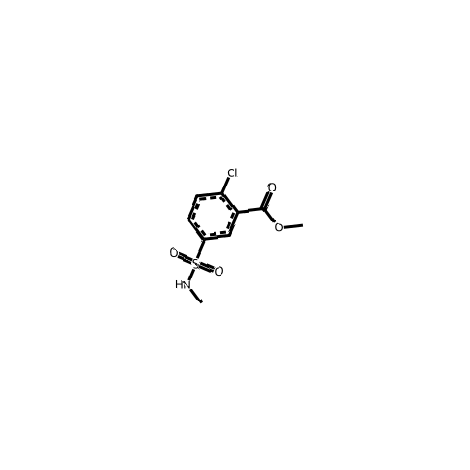 CNS(=O)(=O)c1ccc(Cl)c(C(=O)OC)c1